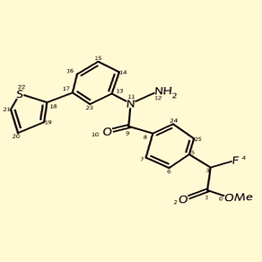 COC(=O)C(F)c1ccc(C(=O)N(N)c2cccc(-c3cccs3)c2)cc1